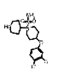 NS(=O)(=O)[N+]1(C2CCNCC2)CCC(Oc2ccc(Cl)c(Cl)c2)CC1